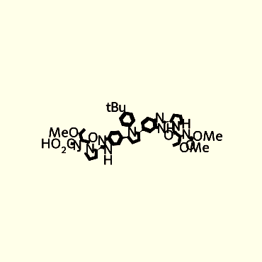 COC(=O)N[C@H](C(=O)N1CCC[C@H]1c1nc2ccc([C@@H]3CC[C@@H](c4ccc5nc([C@@H]6CCCN6C(=O)[C@H]([C@@H](C)OC)N(C)C(=O)O)[nH]c5c4)N3c3ccc(C(C)(C)C)cc3)cc2[nH]1)C(C)OC